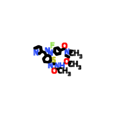 CCN(CCOC)C(=O)c1ccc(-n2nc(-c3cccnc3)c3c2-c2sc(NC(C)=O)nc2CC3)c(F)c1